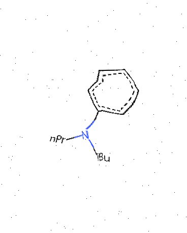 CCCN(c1ccccc1)C(C)CC